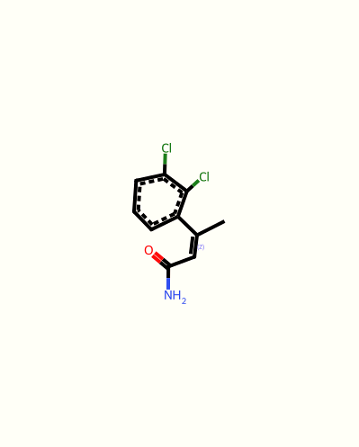 C/C(=C/C(N)=O)c1cccc(Cl)c1Cl